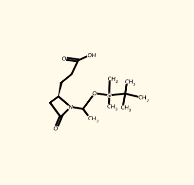 CC(O[Si](C)(C)C(C)(C)C)N1C(=O)C[C@H]1CCC(=O)O